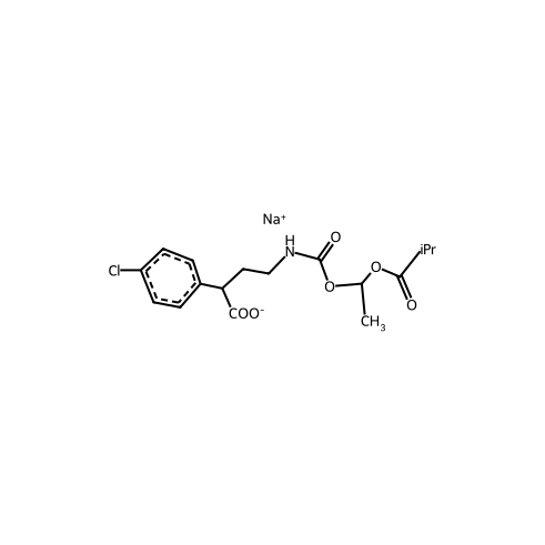 CC(OC(=O)NCCC(C(=O)[O-])c1ccc(Cl)cc1)OC(=O)C(C)C.[Na+]